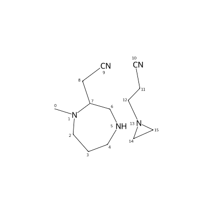 CN1CCCNCC1CC#N.N#CCCN1CC1